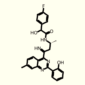 Cc1ccc2c(C(=N)C[C@@H](C)NC(=O)C(O)c3ccc(F)cc3)nc(-c3ccccc3O)nc2c1